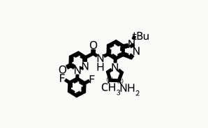 C[C@@H]1CN(c2c(NC(=O)c3ccc(=O)n(-c4c(F)cccc4F)n3)ccc3c2cnn3C(C)(C)C)C[C@@H]1N